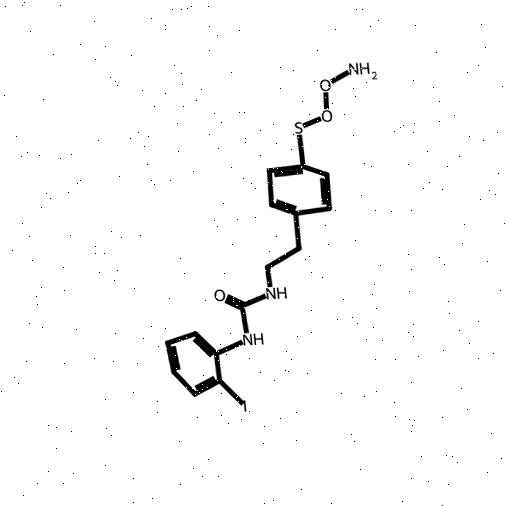 NOOSc1ccc(CCNC(=O)Nc2ccccc2I)cc1